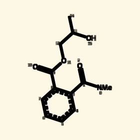 CNC(=O)c1ccccc1C(=O)OCC(C)O